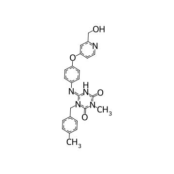 Cc1ccc(Cn2c(=O)n(C)c(=O)[nH]/c2=N\c2ccc(Oc3ccnc(CO)c3)cc2)cc1